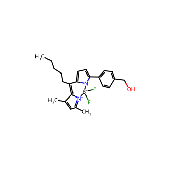 CCCCCC1=C2C(C)=CC(C)=[N+]2[B-](F)(F)n2c1ccc2-c1ccc(CO)cc1